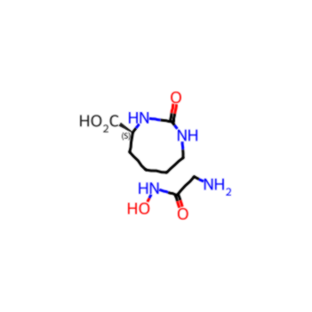 NCC(=O)NO.O=C1NCCCC[C@@H](C(=O)O)N1